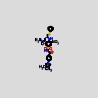 CN(C)CC[C@H](CSc1ccccc1)Nc1ccc(S(=O)(=O)NC(=O)c2ccc(N3CCC(C)(C)C3)cc2)cc1[N+](=O)[O-]